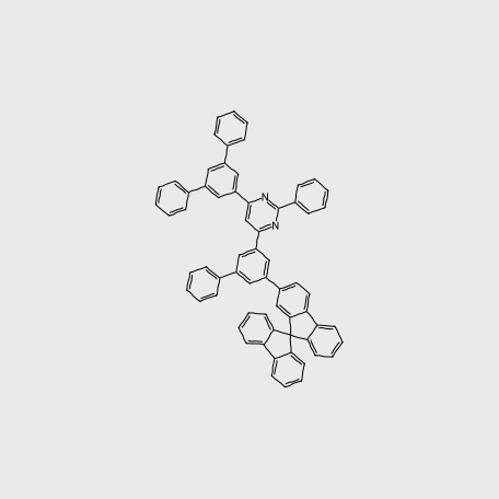 c1ccc(-c2cc(-c3ccccc3)cc(-c3cc(-c4cc(-c5ccccc5)cc(-c5ccc6c(c5)C5(c7ccccc7-c7ccccc75)c5ccccc5-6)c4)nc(-c4ccccc4)n3)c2)cc1